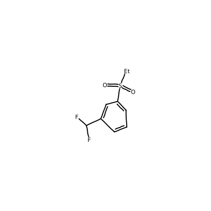 CCS(=O)(=O)c1cccc(C(F)F)c1